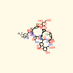 CN[C@H](CC(C)C)C(=O)N[C@H]1C(=O)N[C@@H](CC(N)=O)C(=O)N[C@H]2C(=S)N[C@H]3C(=O)N[C@H](C(=O)N[C@H](CO)C4=CC(O)CC(O)=C4C4CC3=CC=C4CO)[C@H](O)C3=CC=C(Oc4cc2cc(c4O[C@H]2OC(CO)C(O)[C@H](O)C2O)OC2=C(Cl)C=C(CC2)[C@H]1O)C(Cl)C3